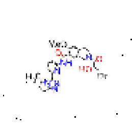 COc1cc2c(cc1C(=O)Nc1cccc(-c3nnc4n3[C@@H](C)CC4)n1)CN(C(=O)[C@@H](O)CC(C)C)CC2